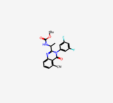 CC(NC(=O)OC(C)(C)C)c1nc2cccc(C#N)c2c(=O)n1-c1cc(F)cc(F)c1